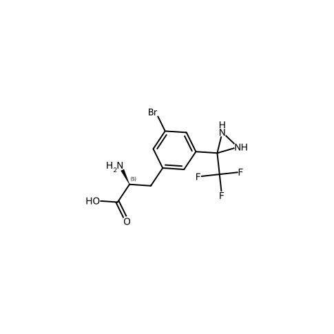 N[C@@H](Cc1cc(Br)cc(C2(C(F)(F)F)NN2)c1)C(=O)O